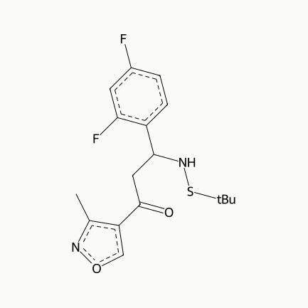 Cc1nocc1C(=O)CC(NSC(C)(C)C)c1ccc(F)cc1F